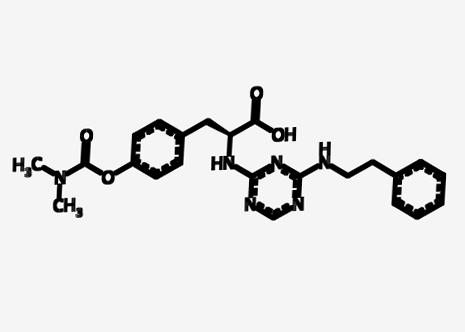 CN(C)C(=O)Oc1ccc(C[C@H](Nc2ncnc(NCCc3ccccc3)n2)C(=O)O)cc1